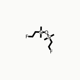 C[Si](C)(CCF)O[Si](C)(C)CCF